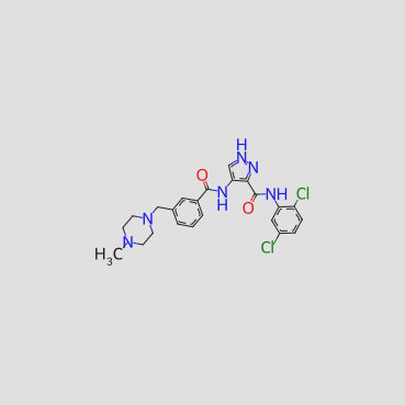 CN1CCN(Cc2cccc(C(=O)Nc3c[nH]nc3C(=O)Nc3cc(Cl)ccc3Cl)c2)CC1